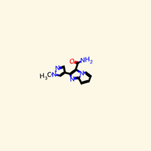 Cn1cc(-c2nc3ccccn3c2C(N)=O)cn1